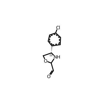 O=CC1N[C@@H](c2ccc(Cl)cc2)CO1